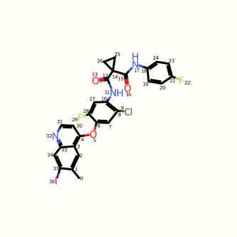 Cc1cc2c(Oc3cc(Cl)c(NC(=O)C4(C(=O)Nc5ccc(F)cc5)CC4)cc3F)ccnc2cc1I